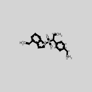 C=Cc1cccc2c1ccn2S(=O)(=O)C(C=C)c1ccc(CN)cc1